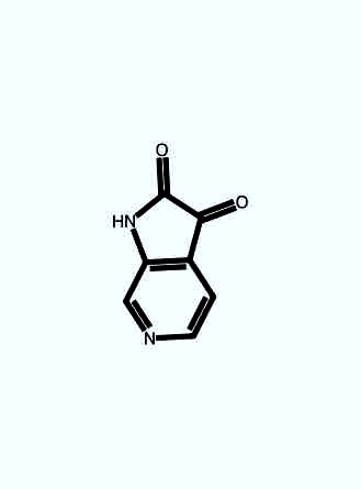 O=C1Nc2cnccc2C1=O